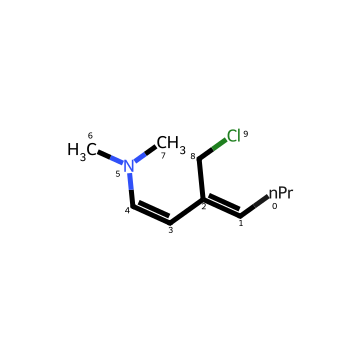 CCC/C=C(/C=C\N(C)C)CCl